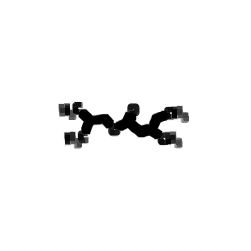 CC/C(C)=C\C(=O)OCC(C)C